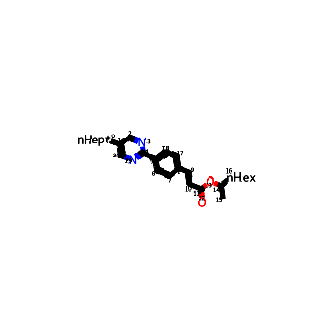 CCCCCCCc1cnc(-c2ccc(C=CC(=O)OC(C)CCCCCC)cc2)nc1